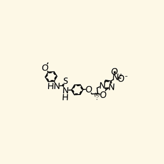 COc1ccc(NC(=S)Nc2ccc(OC[C@@]3(C)Cn4cc([N+](=O)[O-])nc4O3)cc2)cc1